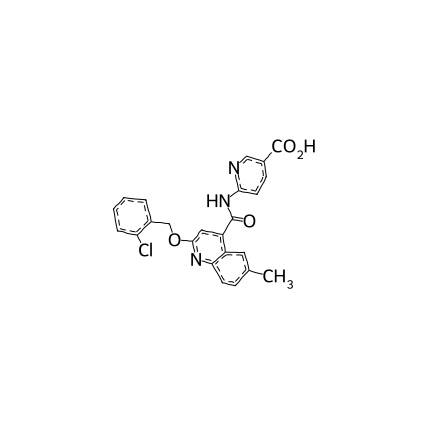 Cc1ccc2nc(OCc3ccccc3Cl)cc(C(=O)Nc3ccc(C(=O)O)cn3)c2c1